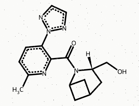 Cc1ccc(-n2nccn2)c(C(=O)N2C3CC(C3)C[C@H]2CO)n1